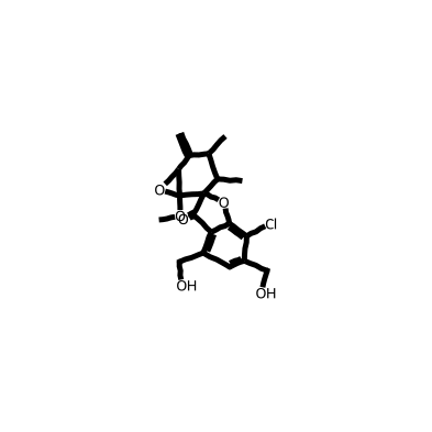 C=C1C(C)C(C)C2(Oc3c(Cl)c(CO)cc(CO)c3C2=O)C2(OC)OC12